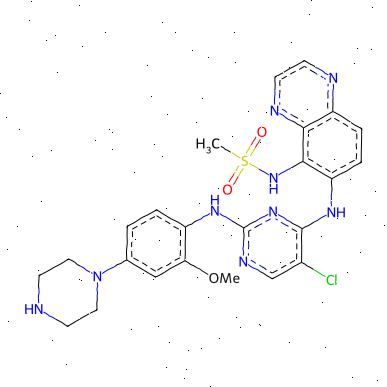 COc1cc(N2CCNCC2)ccc1Nc1ncc(Cl)c(Nc2ccc3nccnc3c2NS(C)(=O)=O)n1